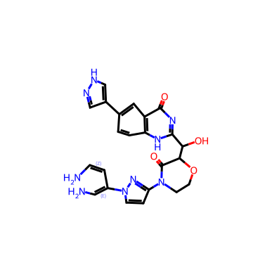 N/C=C\C(=C/N)n1ccc(N2CCOC(C(O)c3nc(=O)c4cc(-c5cn[nH]c5)ccc4[nH]3)C2=O)n1